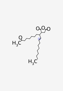 CCCCCCCC/C=C/C(CCCCCCC(C)=O)C1CC(=O)OC1=O